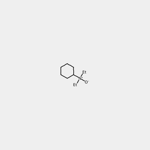 CC[N+]([O-])(CC)C1CCCCC1